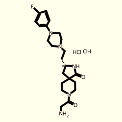 Cl.Cl.NCC(=O)N1CCC2(CC1)C[C@H](CCN1CCN(c3ccc(F)cc3)CC1)NC2=O